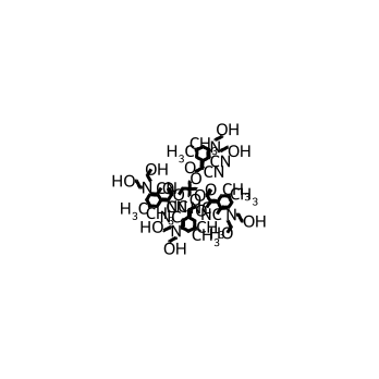 CC1(C)CC(N(CCO)CCO)=C(C#N)/C(=C(/C#N)C(=O)OCC(COC(=O)/C(C#N)=C2\CC(C)(C)CC(N(CCO)CCO)=C2C#N)(COC(=O)/C(C#N)=C2\CC(C)(C)CC(N(CCO)CCO)=C2C#N)COC(=O)/C(C#N)=C2\CC(C)(C)CC(N(CCO)CCO)=C2C#N)C1